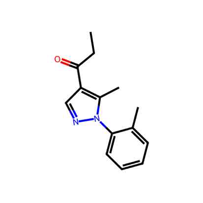 CCC(=O)c1cnn(-c2ccccc2C)c1C